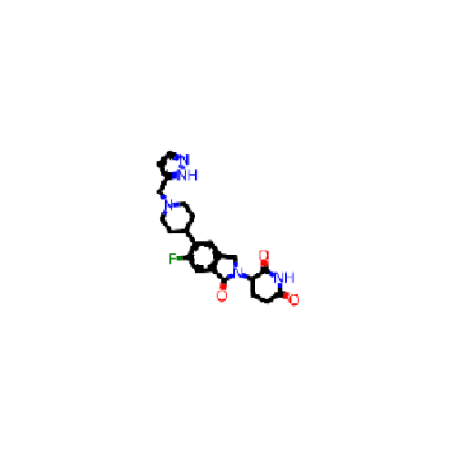 O=C1CCC(N2Cc3cc(C4CCN(Cc5ccn[nH]5)CC4)c(F)cc3C2=O)C(=O)N1